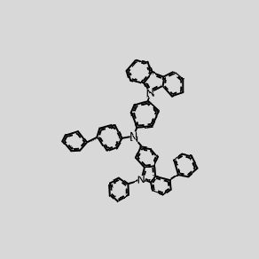 c1ccc(-c2ccc(N(c3ccc(-n4c5ccccc5c5ccccc54)cc3)c3ccc4c5c(-c6ccccc6)cccc5n(-c5ccccc5)c4c3)cc2)cc1